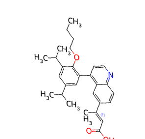 CCCCOc1c(-c2ccnc3ccc(/C(C)=C/C(=O)O)cc23)cc(C(C)C)cc1C(C)C